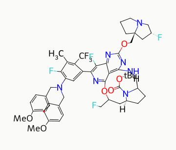 COc1ccc(CN(Cc2ccc(OC)cc2)c2cc(-c3nc4c5c(nc(OC[C@@]67CCCN6C[C@H](F)C7)nc5c3F)NC[C@H]3CC[C@@H](CC(CF)O4)N3C(=O)OC(C)(C)C)c(C(F)(F)F)c(C)c2F)cc1